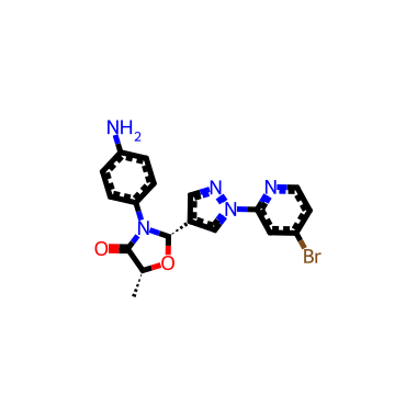 C[C@H]1O[C@@H](c2cnn(-c3cc(Br)ccn3)c2)N(c2ccc(N)cc2)C1=O